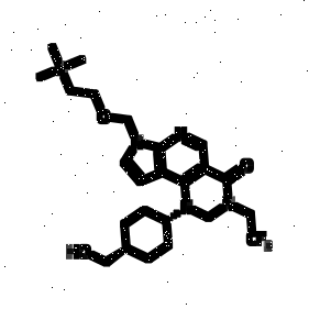 C[Si](C)(C)CCOCn1ccc2c3c(cnc21)C(=O)N(CC(F)(F)F)CN3[C@H]1CC[C@H](CO)CC1